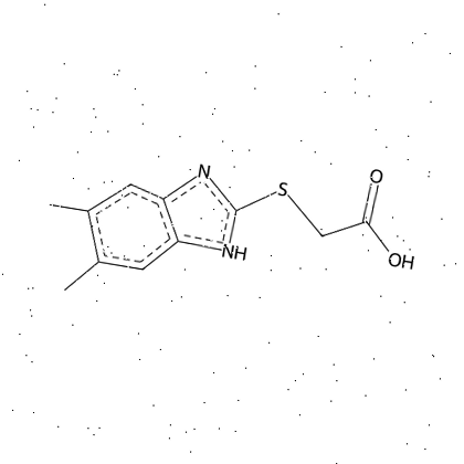 Cc1cc2nc(SCC(=O)O)[nH]c2cc1C